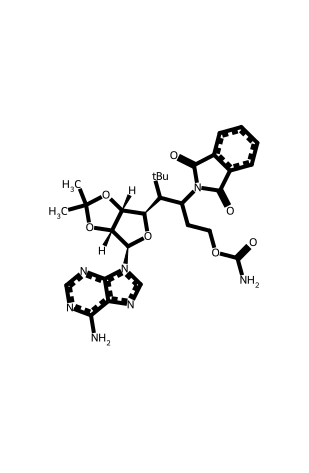 CC1(C)O[C@@H]2[C@H](O1)[C@@H](C(C(CCOC(N)=O)N1C(=O)c3ccccc3C1=O)C(C)(C)C)O[C@H]2n1cnc2c(N)ncnc21